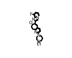 CCN1CCCN(c2ccc3c(n2)CCC(=O)C(c2cn4cccc(F)c4n2)=C3)CC1